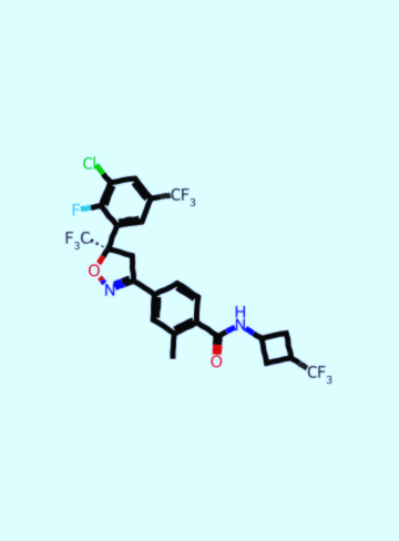 Cc1cc(C2=NO[C@](c3cc(C(F)(F)F)cc(Cl)c3F)(C(F)(F)F)C2)ccc1C(=O)NC1CC(C(F)(F)F)C1